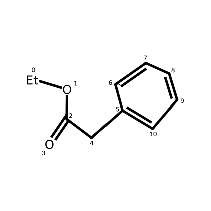 CCOC(=O)Cc1[c]cccc1